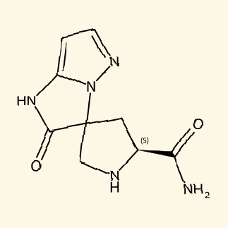 NC(=O)[C@@H]1CC2(CN1)C(=O)Nc1ccnn12